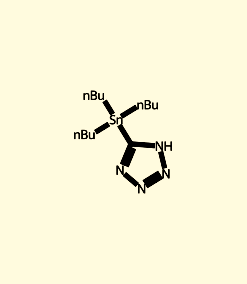 CCC[CH2][Sn]([CH2]CCC)([CH2]CCC)[c]1nnn[nH]1